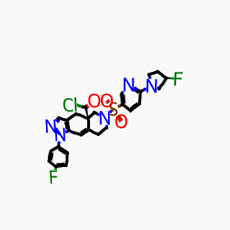 O=C(Cl)[C@]12Cc3cnn(-c4ccc(F)cc4)c3C=C1CCN(S(=O)(=O)c1ccc(N3CC[C@@H](F)C3)nc1)C2